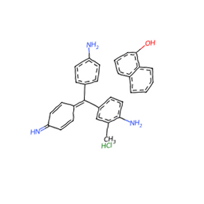 Cc1cc(C(=C2C=CC(=N)C=C2)c2ccc(N)cc2)ccc1N.Cl.Oc1cccc2ccccc12